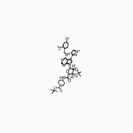 COc1ccc(CNc2ncnc3c2c(-c2ccn(C)n2)cn3[C@@H]2O[C@H](C(=O)NC3CCN(C(=O)OC(C)(C)C)CC3)[C@H]3OC(C)(C)O[C@H]32)c(OC)c1